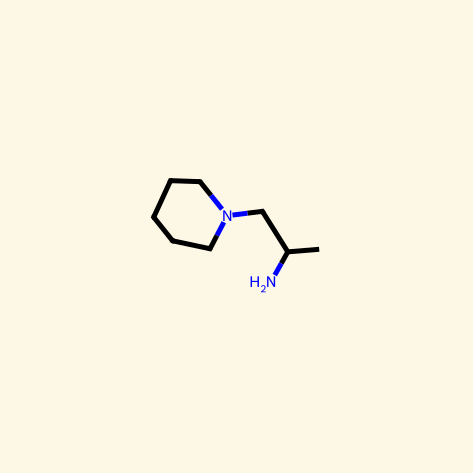 CC(N)CN1CCCCC1